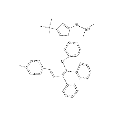 C[SiH](C)[Ti][C]1=CC(C(C)(C)C)=CC1.Cc1ccc(C=CC(=C(Oc2ccccc2)c2ccccc2)c2ccccc2)cc1